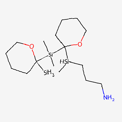 C[SiH](CCCN)C1([Si](C)(C)C2([SiH3])CCCCO2)CCCCO1